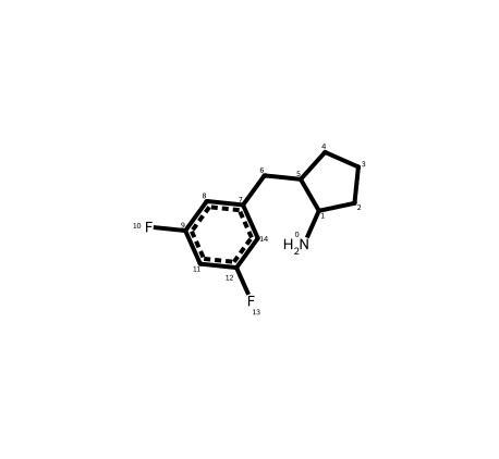 NC1CCCC1Cc1cc(F)cc(F)c1